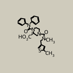 Cc1cc(CN(C)C(=O)N2CCN(C(=O)N(c3ccccc3)c3ccccc3)[C@H](C(=O)O)C2)cs1